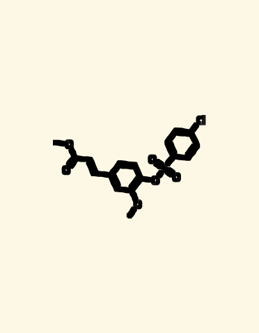 COC(=O)C=Cc1ccc(OS(=O)(=O)c2ccc(Cl)cc2)c(OC)c1